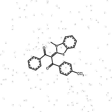 CN1/C(=C(\C(=O)c2ccccc2)C(=O)c2ccc(C(Cl)(Cl)Cl)cc2)Sc2ccccc21